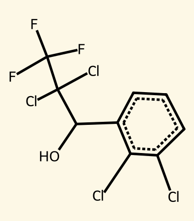 OC(c1cccc(Cl)c1Cl)C(Cl)(Cl)C(F)(F)F